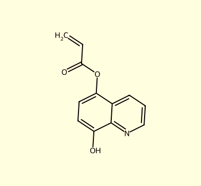 C=CC(=O)Oc1ccc(O)c2ncccc12